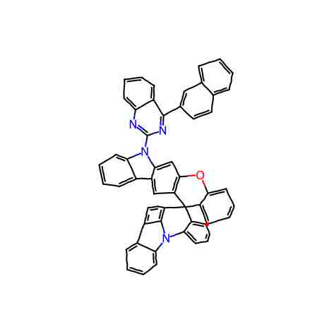 c1ccc2c(c1)Oc1cc3c(cc1C21c2ccccc2-n2c4ccccc4c4cccc1c42)c1ccccc1n3-c1nc(-c2ccc3ccccc3c2)c2ccccc2n1